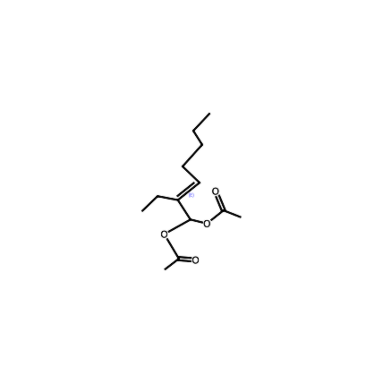 CCCC/C=C(\CC)C(OC(C)=O)OC(C)=O